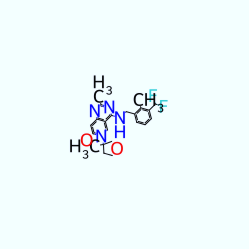 Cc1nc(NCc2cccc(C(F)F)c2C)c2cn(C3(C)CCOC3)c(=O)cc2n1